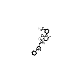 CC1=CCN(C(=O)NCc2cnn(-c3ccccc3)c2)C(=O)N1c1cccc(C(F)(F)F)c1